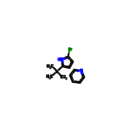 C[Si](C)(C)c1ccc(Br)[nH]1.c1ccncc1